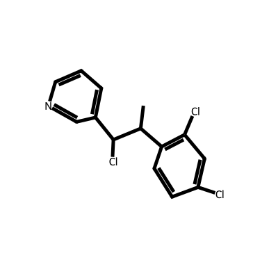 CC(c1ccc(Cl)cc1Cl)C(Cl)c1cccnc1